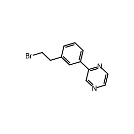 BrCCc1cccc(-c2cnccn2)c1